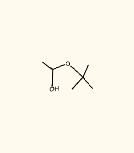 C[C](O)OC(C)(C)C